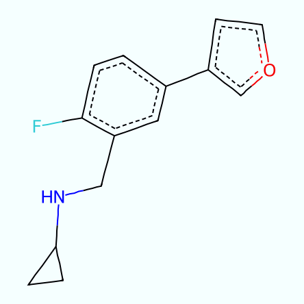 Fc1ccc(-c2ccoc2)cc1CNC1CC1